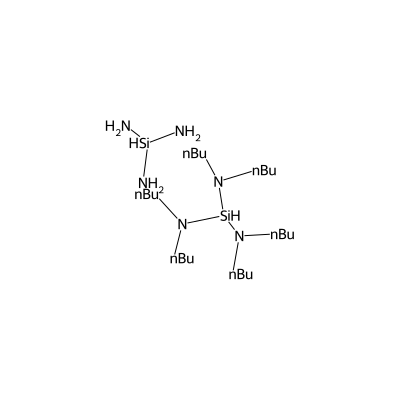 CCCCN(CCCC)[SiH](N(CCCC)CCCC)N(CCCC)CCCC.N[SiH](N)N